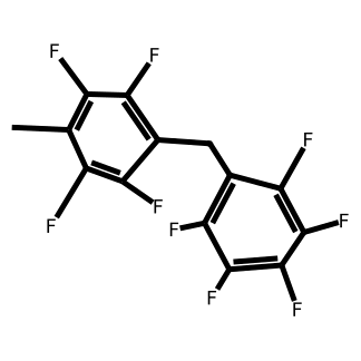 Cc1c(F)c(F)c(Cc2c(F)c(F)c(F)c(F)c2F)c(F)c1F